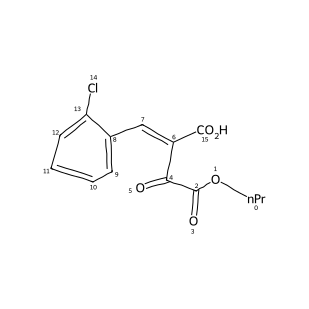 CCCOC(=O)C(=O)C(=Cc1ccccc1Cl)C(=O)O